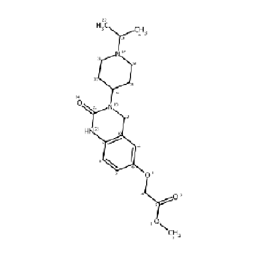 COC(=O)COc1ccc2c(c1)CN(C1CCN(C(C)C)CC1)C(=O)N2